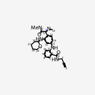 C#CCNC(=O)c1ccccc1Nc1ccc(/C(=N\C)C(=O)NC)c(NC2CCCCO2)c1